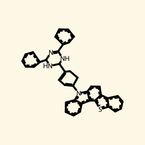 C1=C(C2NC(c3ccccc3)=NC(c3ccccc3)N2)CCC(n2c3ccccc3c3c4sc5ccccc5c4ccc32)=C1